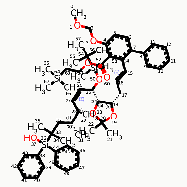 COCOc1ccc(-c2ccccc2)c(/C=C/C[C@@H]2OC(C)(C)O[C@@H]2C(/C=C\[C@@H](C)[C@H](C)CC(C)(C)[Si](O)(c2ccccc2)c2ccccc2)O[Si](C)(C)C(C)(C)C)c1C(=O)OCC[Si](C)(C)C